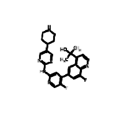 CC(C)(O)c1ccnc2c(F)cc(-c3cc(Nc4ncc(C5CCNCC5)cn4)ncc3F)cc12